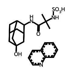 CC(C)(NS(=O)(=O)O)C(=O)NC1C2CC3CC1CC(O)(C3)C2.c1ccc2ncccc2c1